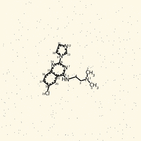 CN(C)CCNc1nc(-n2ccnc2)nc2ccc(Cl)cc12